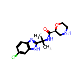 CC(C)(NC(=O)[C@@H]1CNCCO1)c1nc2ccc(Cl)cc2[nH]1